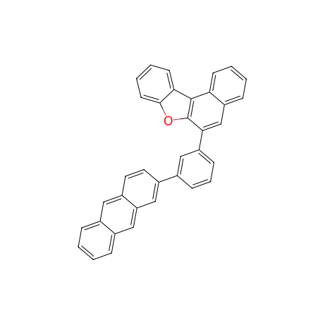 c1cc(-c2ccc3cc4ccccc4cc3c2)cc(-c2cc3ccccc3c3c2oc2ccccc23)c1